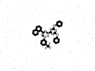 FC(F)(F)c1cccc(/N=N/C(=N\Nc2nc(Oc3ccccc3)nc(Oc3ccccc3)n2)c2cccc3ccccc23)c1